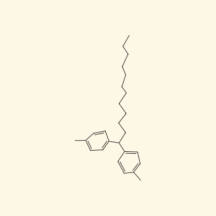 CCCCCCCCCCCC(c1ccc(C)cc1)c1ccc(C)cc1